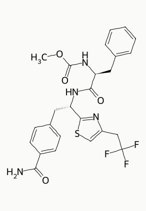 COC(=O)N[C@@H](Cc1ccccc1)C(=O)N[C@@H](Cc1ccc(C(N)=O)cc1)c1nc(CC(F)(F)F)cs1